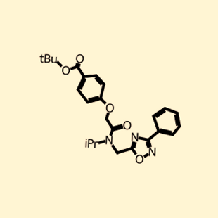 CC(C)N(Cc1nc(-c2ccccc2)no1)C(=O)COc1ccc(C(=O)OC(C)(C)C)cc1